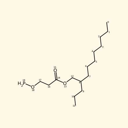 CCCCCCCCC(CCC)COC(=O)CCOP